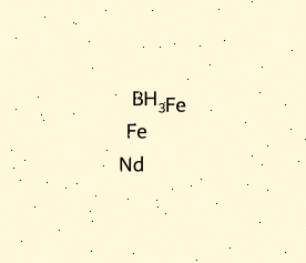 B.[Fe].[Fe].[Nd]